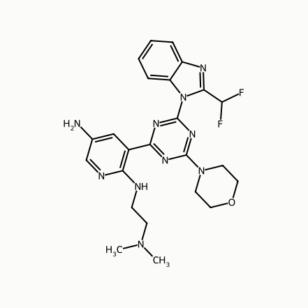 CN(C)CCNc1ncc(N)cc1-c1nc(N2CCOCC2)nc(-n2c(C(F)F)nc3ccccc32)n1